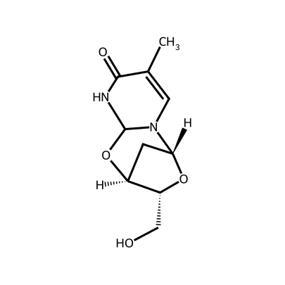 CC1=CN2C(NC1=O)O[C@H]1C[C@H]2O[C@@H]1CO